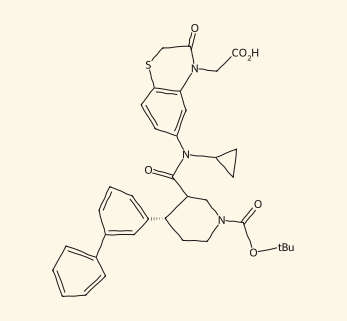 CC(C)(C)OC(=O)N1CC[C@H](c2cccc(-c3ccccc3)c2)C(C(=O)N(c2ccc3c(c2)N(CC(=O)O)C(=O)CS3)C2CC2)C1